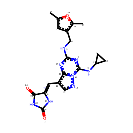 Cc1cc(CNc2nc(NC3CC3)n3ncc(/C=C4\NC(=O)NC4=O)c3n2)c(C)o1